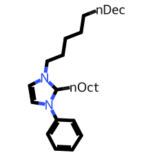 CCCCCCCCCCCCCCCN1C=CN(c2ccccc2)C1CCCCCCCC